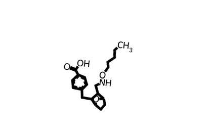 CCCCCONCC1C2CCC(O2)C1Cc1ccc(C(=O)O)cc1